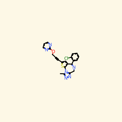 Cc1nnc2n1-c1sc(C#CCOc3ncccn3)cc1C(c1ccccc1Cl)=NC2